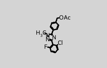 CC(=O)OCc1ccc(-c2nc(-c3c(F)cccc3Cl)nn2C)cc1